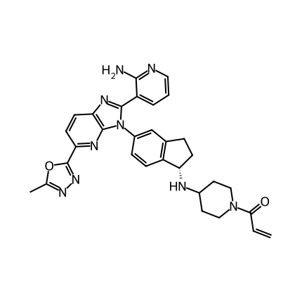 C=CC(=O)N1CCC(N[C@H]2CCc3cc(-n4c(-c5cccnc5N)nc5ccc(-c6nnc(C)o6)nc54)ccc32)CC1